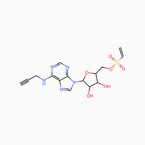 C#CCNc1ncnc2c1ncn2C1OC(COS(=O)(=O)C=C)C(O)C1O